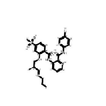 CCCN=C[C@@H](C)COc1cc(S(C)(=O)=O)ccc1C(=O)Nc1cccnc1C(=O)Nc1ccc(Cl)cn1